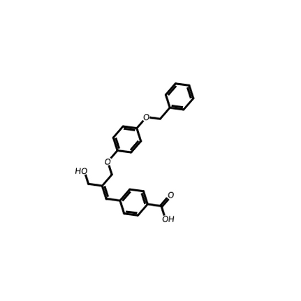 O=C(O)c1ccc(C=C(CO)COc2ccc(OCc3ccccc3)cc2)cc1